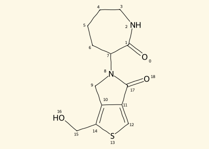 O=C1NCCCCC1N1Cc2c(csc2CO)C1=O